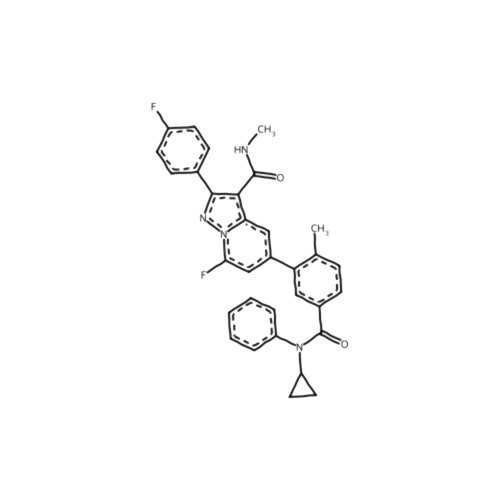 CNC(=O)c1c(-c2ccc(F)cc2)nn2c(F)cc(-c3cc(C(=O)N(c4ccccc4)C4CC4)ccc3C)cc12